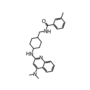 Cc1cccc(C(=O)NCC2CCC(Nc3cc(N(C)C)c4ccccc4n3)CC2)c1